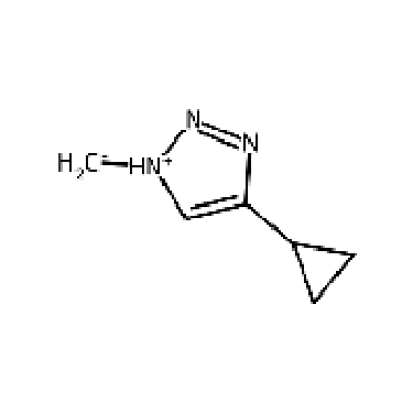 [CH2-][NH+]1C=C(C2CC2)N=N1